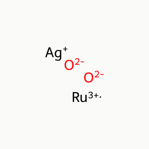 [Ag+].[O-2].[O-2].[Ru+3]